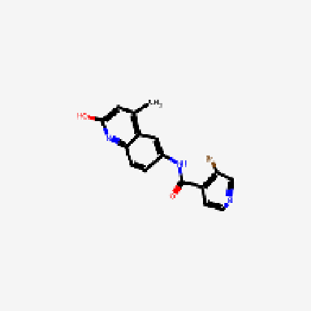 Cc1cc(O)nc2ccc(NC(=O)c3ccncc3Br)cc12